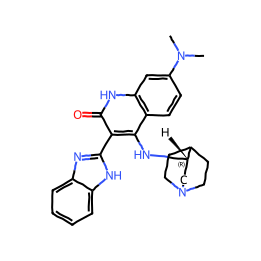 CN(C)c1ccc2c(N[C@H]3CN4CCC3CC4)c(-c3nc4ccccc4[nH]3)c(=O)[nH]c2c1